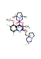 COc1c(F)cc(F)c2nc(OC[C@@]34CCCN3C[C@H](F)C4)nc(N3C[C@H]4CC[C@@H](C3)N4C(=O)OC(C)(C)C)c12